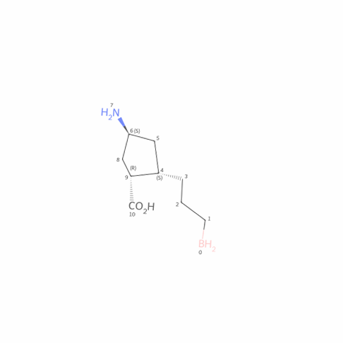 BCCC[C@H]1C[C@H](N)C[C@H]1C(=O)O